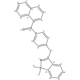 CC1(C)N=C(Cc2ccc(C(=O)c3cccc4ccccc34)cc2)c2ccccc21